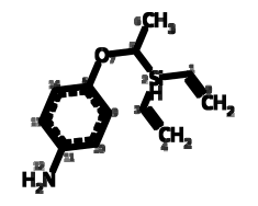 C=C[SiH](C=C)C(C)Oc1ccc(N)cc1